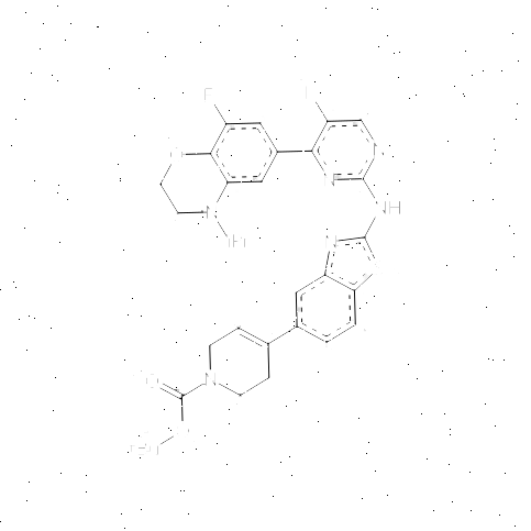 CC(C)N1CCOc2c(F)cc(-c3nc(Nc4nc5cc(C6=CCN(C(=O)OC(C)(C)C)CC6)ccc5s4)ncc3F)cc21